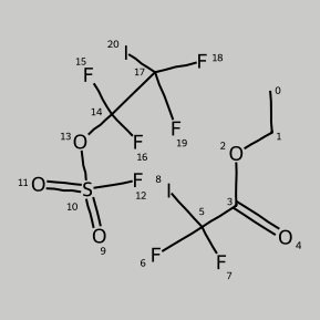 CCOC(=O)C(F)(F)I.O=S(=O)(F)OC(F)(F)C(F)(F)I